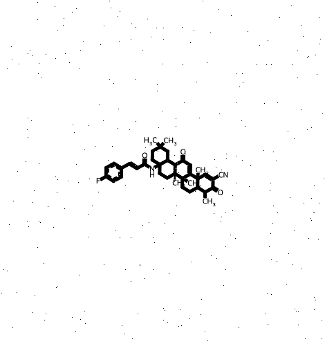 CC1C(=O)C(C#N)=CC2(C)C3=CC(=O)C4C5CC(C)(C)CCC5(NC(=O)/C=C/c5ccc(F)cc5)CC[C@@]4(C)C3(C)CCC12